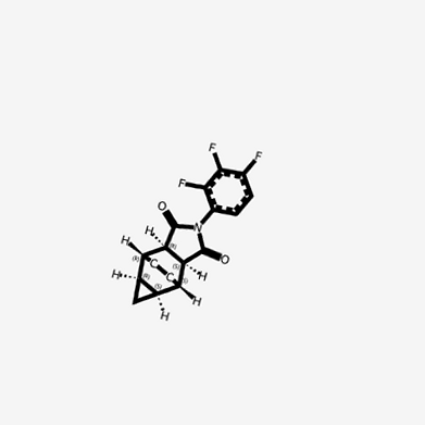 O=C1[C@@H]2[C@@H]3CC[C@@H]([C@H]4C[C@H]43)[C@@H]2C(=O)N1c1ccc(F)c(F)c1F